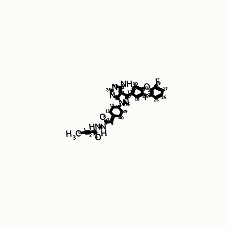 CC#CC(=O)NNC(=O)C=C1CCC(n2nc(-c3ccc(Oc4c(F)cccc4F)cc3)c3c(N)ncnc32)CC1